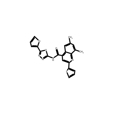 Cc1cc(C)c2nc(-c3cccs3)cc(C(=O)Nc3nnc(-c4ccco4)o3)c2c1